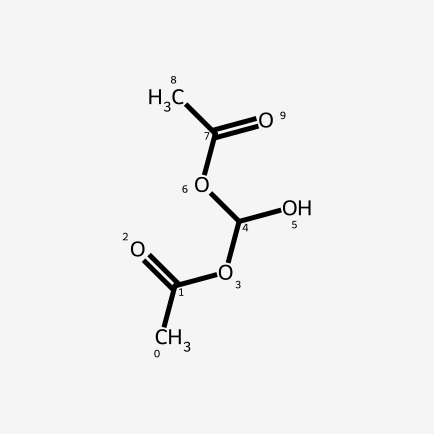 CC(=O)OC(O)OC(C)=O